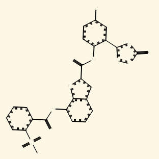 CS(=O)(=O)c1ccccc1C(=O)Nc1cccc2cc(C(=O)Nc3ccc(Br)cc3-c3noc(=O)[nH]3)[nH]c12